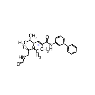 C/C(=C\C(C(C)C)N(C)C(=O)CNC=O)C(=O)Nc1cccc(-c2ccccc2)c1